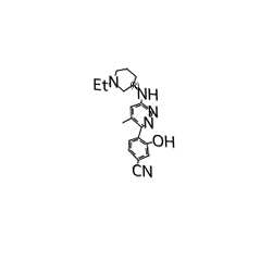 CCN1CCC[C@@H](Nc2cc(C)c(-c3ccc(C#N)cc3O)nn2)C1